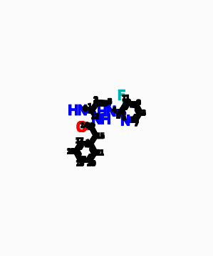 N=C(/C=C\Nc1ncccc1F)NC(=O)Cc1ccccc1